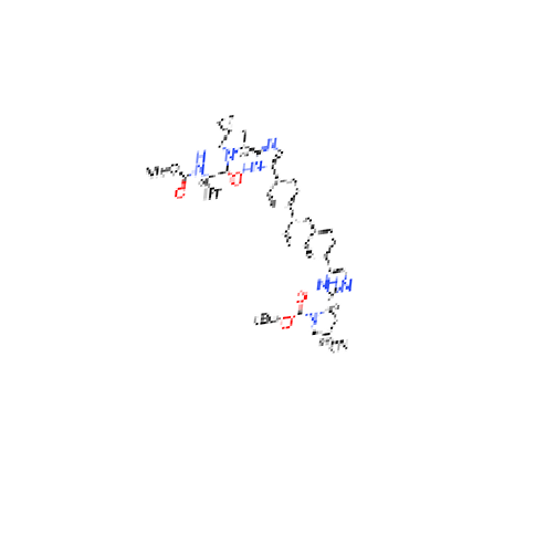 COC(=O)N[C@H](C(=O)N1CC2(CC2)C[C@H]1c1ncc(-c2ccc(-c3ccc4cc(-c5cnc([C@@H]6C[C@H](C#N)CN6C(=O)OC(C)(C)C)[nH]5)ccc4c3)cc2)[nH]1)C(C)C